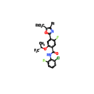 CCOC(=O)c1oc(-c2cc(O[C@@H](C)C(F)(F)F)c(C(=O)Nc3c(F)cccc3Cl)cc2F)nc1CC